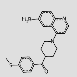 Bc1ccc2nccc(N3CCC(C(=O)c4ccc(SC)cc4)CC3)c2c1